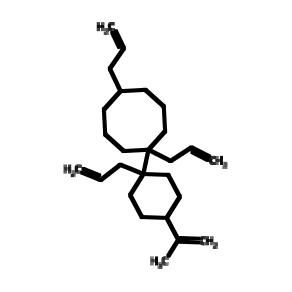 C=CCC1CCCC(CC=C)(C2(CC=C)CCC(C(=C)C)CC2)CCC1